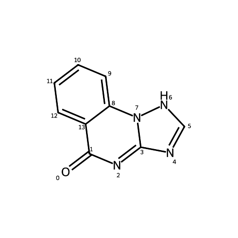 O=c1nc2nc[nH]n2c2ccccc12